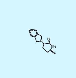 C=C1CCC(N2Cc3ccccc3C2)C(=O)N1